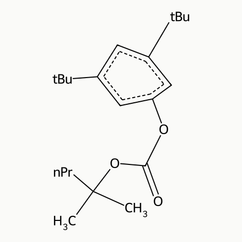 CCCC(C)(C)OC(=O)Oc1cc(C(C)(C)C)cc(C(C)(C)C)c1